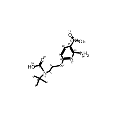 CC(C)(C)N(CCSc1ccc([N+](=O)[O-])c(N)n1)C(=O)O